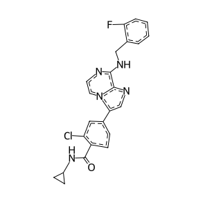 O=C(NC1CC1)c1ccc(-c2cnc3c(NCc4ccccc4F)nccn23)cc1Cl